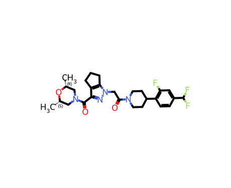 C[C@@H]1CN(C(=O)c2nn(CC(=O)N3CCC(c4ccc(C(F)F)cc4F)CC3)c3c2CCC3)C[C@H](C)O1